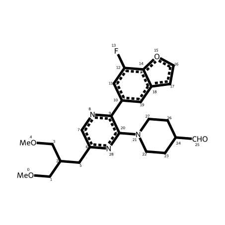 COCC(COC)Cc1cnc(-c2cc(F)c3occc3c2)c(N2CCC(C=O)CC2)n1